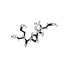 C=CCN(CC)C(=O)n1cnc(S(=O)(=O)N(C)CC=C)n1